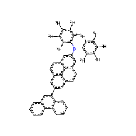 [2H]c1c([2H])c([2H])c(N(c2cc3ccc4cc(-c5cc6ccccc6c6ccccc56)cc5ccc(c2)c3c45)c2c([2H])c([2H])c([2H])c([2H])c2[2H])c([2H])c1[2H]